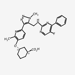 Cc1nc(-c2nnn(C)c2CNc2ncc(F)c(-c3ccccc3)n2)ccc1O[C@H]1CCC[C@H](C(=O)O)C1